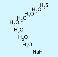 O.O.O.O.O.O.O.S.[NaH]